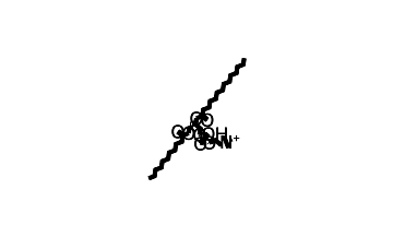 CCCCCCCCCCCCCC(=O)O[C@H](COC(=O)CCCCCCCCCC)COP(=O)(O)OCC[N+](C)(C)C